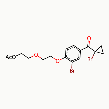 CC(=O)OCCOCCOc1ccc(C(=O)C2(Br)CC2)cc1Br